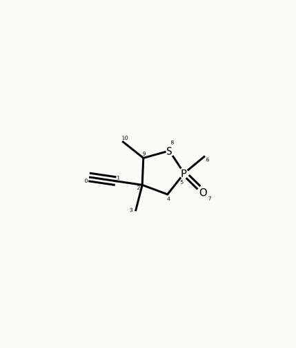 C#CC1(C)CP(C)(=O)SC1C